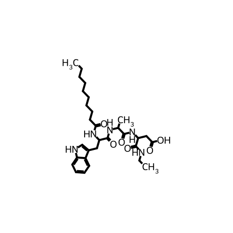 CCCCCCCCCC(=O)NC(Cc1c[nH]c2ccccc12)C(=O)NC(C)C(=O)NC(CC(=O)O)C(=O)NCC